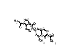 CN(CCn1nnc2c(C(N)=O)ncn2c1=O)c1cc(C(N)=O)ccc1[N+](=O)[O-]